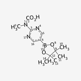 CN(C(=O)O)c1ncc(B2OC(C)(C)C(C)(C)O2)cn1